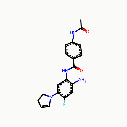 CC(=O)Nc1ccc(C(=O)Nc2cc(N3C=CCC3)c(F)cc2N)cc1